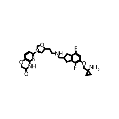 NC1(COc2cc(F)c3c(c2F)CC(CNCCC2CN(c4ccc5c(n4)NC(=O)CO5)CO2)C3)CC1